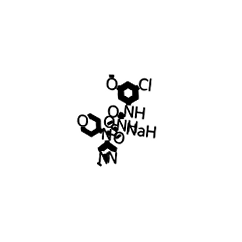 COc1cc(Cl)cc(NC(=O)NS(=O)(=O)N(c2cnn(C)c2)C2CCOCC2)c1.[NaH]